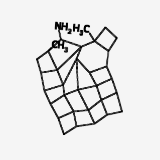 CC12CC3C4C5C6CC7C8C9CC%10C%11C%12C%13CCC%13(C)C%13(C1N)C32C41C52C76C83C%109C%114C%12C%131C432